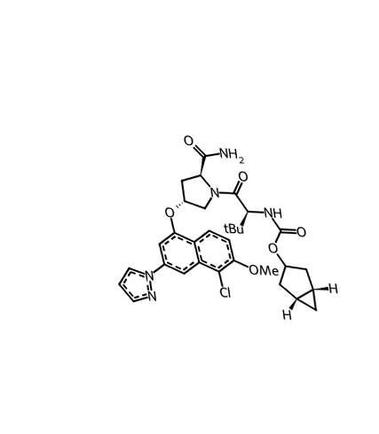 COc1ccc2c(O[C@@H]3C[C@@H](C(N)=O)N(C(=O)[C@@H](NC(=O)OC4C[C@@H]5C[C@@H]5C4)C(C)(C)C)C3)cc(-n3cccn3)cc2c1Cl